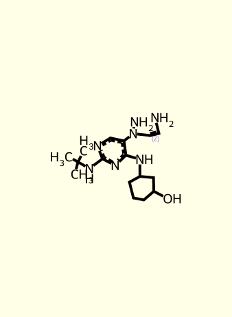 CC(C)(C)Nc1ncc(N(N)/C=C\N)c(NC2CCCC(O)C2)n1